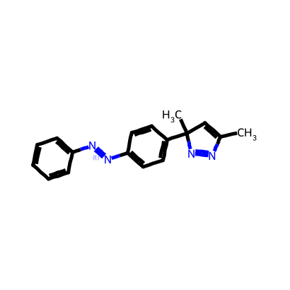 CC1=CC(C)(c2ccc(/N=N/c3ccccc3)cc2)N=N1